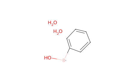 O.O.O[B]c1ccccc1